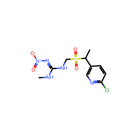 CNC(=N[N+](=O)[O-])NCS(=O)(=O)C(C)c1ccc(Cl)nc1